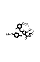 COc1ccc(Cn2c(Cc3cc(OC(F)(F)F)ccc3F)nc3c2c(=O)[nH]c(=O)n3C)cc1